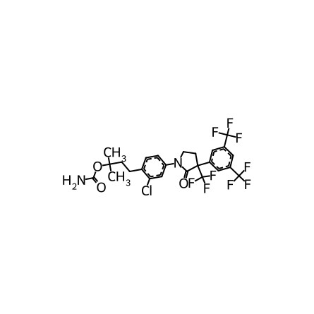 CC(C)(CCc1ccc(N2CCC(c3cc(C(F)(F)F)cc(C(F)(F)F)c3)(C(F)(F)F)C2=O)cc1Cl)OC(N)=O